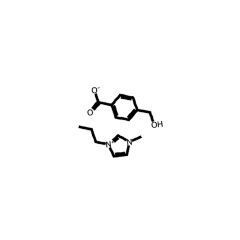 CCC[n+]1ccn(C)c1.O=C([O-])c1ccc(CO)cc1